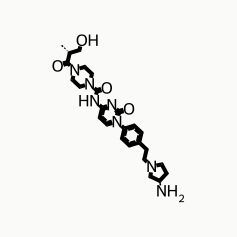 C[C@H](CO)C(=O)N1CCN(C(=O)Nc2ccn(-c3ccc(CCN4CC[C@H](N)C4)cc3)c(=O)n2)CC1